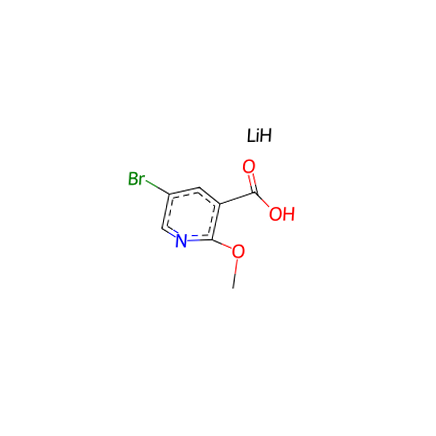 COc1ncc(Br)cc1C(=O)O.[LiH]